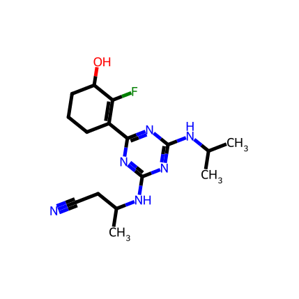 CC(C)Nc1nc(NC(C)CC#N)nc(C2=C(F)C(O)CCC2)n1